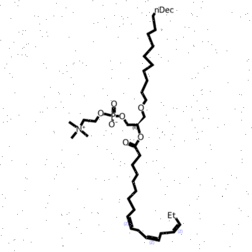 CC/C=C\C/C=C\C/C=C\CCCCCCCC(=O)O[C@H](COCCCCCCCCCCCCCCCCCCCC)COP(=O)([O-])OCC[N+](C)(C)C